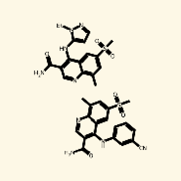 CCn1nccc1Nc1c(C(N)=O)cnc2c(C)cc(S(C)(=O)=O)cc12.Cc1cc(S(C)(=O)=O)cc2c(Nc3cccc(C#N)c3)c(C(N)=O)cnc12